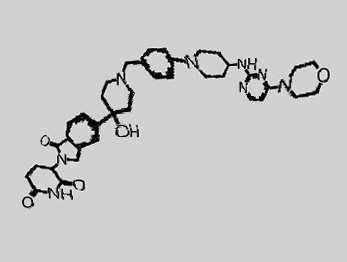 O=C1CCC(N2Cc3cc(C4(O)CCN(Cc5ccc(N6CCC(Nc7nccc(N8CCOCC8)n7)CC6)cc5)CC4)ccc3C2=O)C(=O)N1